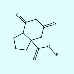 CC(C)OC(=O)C12CCCC1C(=O)CC(=O)C2